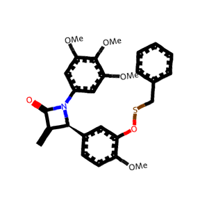 C=C1C(=O)N(c2cc(OC)c(OC)c(OC)c2)[C@H]1c1ccc(OC)c(OSCc2ccccc2)c1